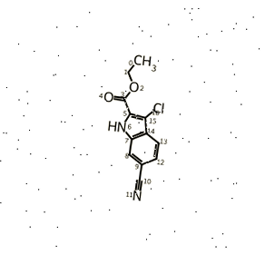 CCOC(=O)c1[nH]c2cc(C#N)ccc2c1Cl